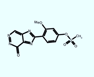 COc1cc(OS(C)(=O)=O)ccc1C1=NC2=CN=NC(=O)C2=N1